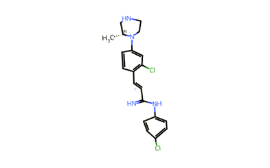 C[C@@H]1CNCCN1c1ccc(/C=C/C(=N)Nc2ccc(Cl)cc2)c(Cl)c1